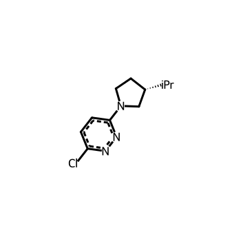 CC(C)[C@H]1CCN(c2ccc(Cl)nn2)C1